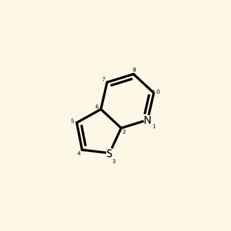 [C]1=NC2SC=CC2C=C1